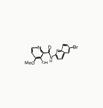 COc1ccnc(C(=O)Nc2ccc3cc(Br)ccc3n2)c1O